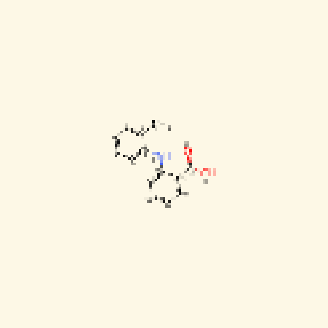 Cc1ccccc1Nc1ccccc1C(=O)O